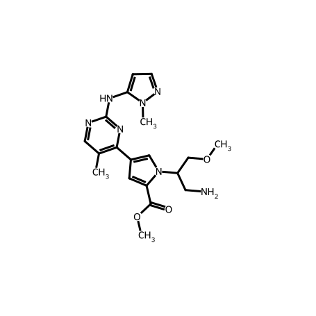 COCC(CN)n1cc(-c2nc(Nc3ccnn3C)ncc2C)cc1C(=O)OC